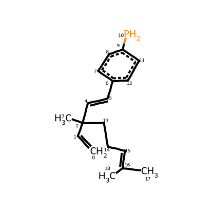 C=CC(C)(/C=C/c1ccc(P)cc1)CCC=C(C)C